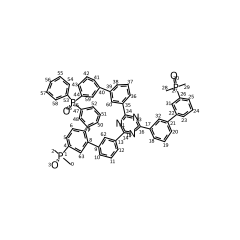 CP(C)(=O)c1cccc(-c2cccc(-c3nc(-c4cccc(-c5cccc(P(C)(C)=O)c5)c4)nc(-c4cccc(-c5cccc(P(=O)(c6ccccc6)c6ccccc6)c5)c4)n3)c2)c1